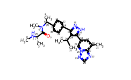 CN[C@@H](C)C(=O)N(C)[C@@H](C)c1ccc(-c2n[nH]c(-c3cc(C)c4ncnn4c3)c2C(C)C)cc1